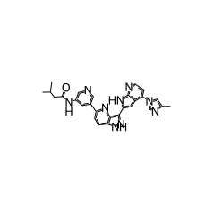 Cc1cn(-c2ccnc3[nH]c(-c4n[nH]c5ccc(-c6cncc(NC(=O)CC(C)C)c6)nc45)cc23)cn1